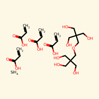 C=CC(=O)O.C=CC(=O)O.C=CC(=O)O.C=CC(=O)O.OCC(CO)(CO)COCC(CO)(CO)CO.[SiH4]